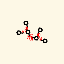 O=C(OC(=O)c1ccc(OCc2ccccc2)c(OCc2ccccc2)c1)c1ccc(OCc2ccccc2)c(OCc2ccccc2)c1